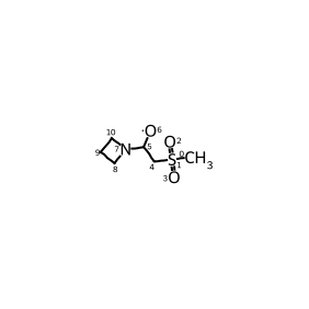 CS(=O)(=O)CC([O])N1CCC1